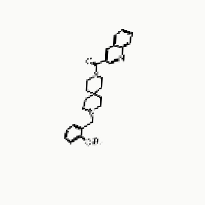 CC(C)COc1ccccc1CN1CCC2(CC1)CCN(C(=O)c1cnc3ccccc3c1)CC2